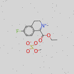 CCOC(=O)C1=[N+](C)CCc2cc(F)ccc21.COS(=O)(=O)[O-]